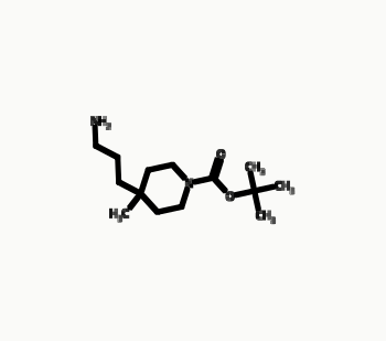 CC1(CCCN)CCN(C(=O)OC(C)(C)C)CC1